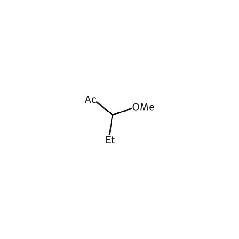 CCC(OC)C(C)=O